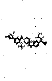 Cc1cc(-c2ccc(OC(F)(F)F)c(C(C)N3CCC4(CCc5ccc(C(C6CC6)[C@H](C)C(=O)O)cc5O4)CC3)c2)n(C)n1